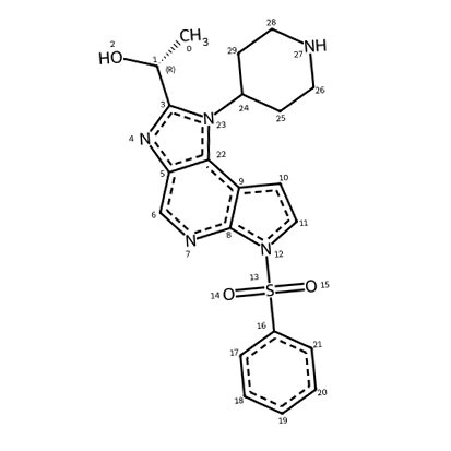 C[C@@H](O)c1nc2cnc3c(ccn3S(=O)(=O)c3ccccc3)c2n1C1CCNCC1